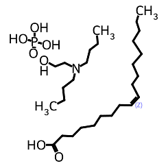 CCCCCCCC/C=C\CCCCCCCC(=O)O.CCCCN(CCO)CCCC.O=P(O)(O)O